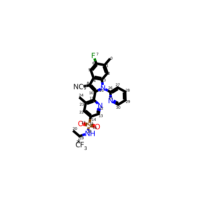 Cc1cc2c(cc1F)c(C#N)c(-c1ncc(S(=O)(=O)N[C@@H](C)C(F)(F)F)cc1C)n2-c1ccccn1